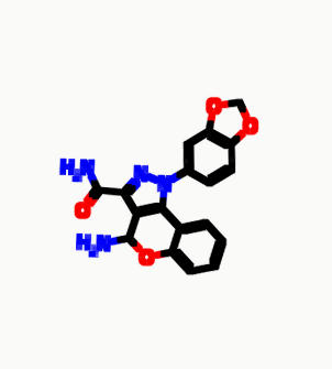 NC(=O)c1nn(-c2ccc3c(c2)OCO3)c2c1C(N)Oc1ccccc1-2